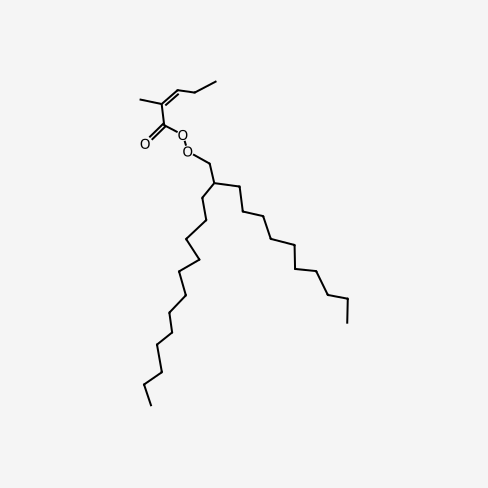 CCC=C(C)C(=O)OOCC(CCCCCCCCCC)CCCCCCCCCCCC